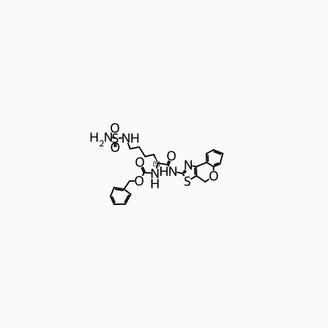 NS(=O)(=O)NCCCC[C@H](NC(=O)OCc1ccccc1)C(=O)Nc1nc2c(s1)COc1ccccc1-2